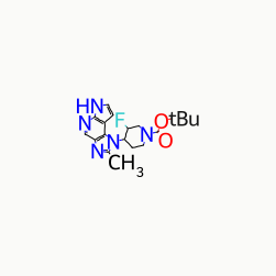 Cc1nc2cnc3[nH]ccc3c2n1C1CCN(C(=O)OC(C)(C)C)CC1F